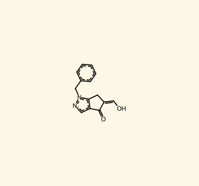 O=C1C(=CO)Cc2c1cnn2Cc1ccccc1